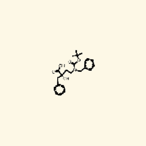 CC(C)(C)OC(=O)N(CC[C@@](O)(Cc1ccccc1)C(=O)O)Cc1ccccc1